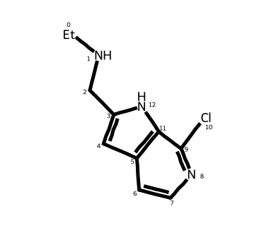 CCNCc1cc2ccnc(Cl)c2[nH]1